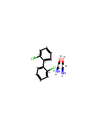 Clc1ccccc1-c1ccccc1Cl.N=C=O.N=C=O